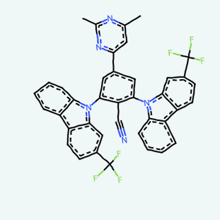 Cc1cc(-c2cc(-n3c4ccccc4c4ccc(C(F)(F)F)cc43)c(C#N)c(-n3c4ccccc4c4ccc(C(F)(F)F)cc43)c2)nc(C)n1